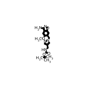 COc1cc2c(N)noc2cc1Cn1cc(CNC(=O)OC(C)(C)C)cn1